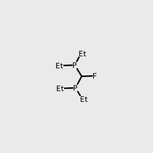 CCP(CC)C(F)P(CC)CC